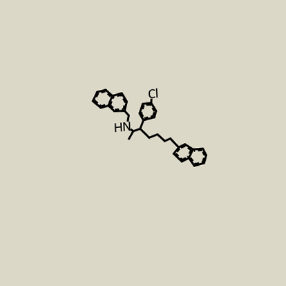 CC(NCc1ccc2ccccc2c1)C(CCCCc1ccc2ccccc2c1)c1ccc(Cl)cc1